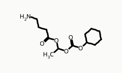 CC(OC(=O)CCCN)OC(=O)OC1CCCCC1